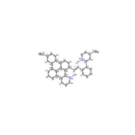 CC(C)(C)c1cc[n+](I)c(-c2ccccc2/C=C/c2ccc3c4ccc(C(C)(C)C)cc4c4cccc5c6ccc[n+](I)c6c2c3c45)c1